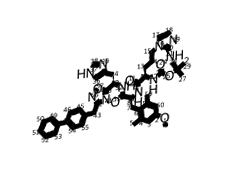 COc1cc(C)c(C[C@H](NC(=O)[C@@H](CCCn2ccnc2N)NC(=O)OC(C)(C)C)C(=O)N[C@@H](Cc2c[nH]cn2)c2nc(Cc3ccc(-c4ccccc4)cc3)no2)c(C)c1